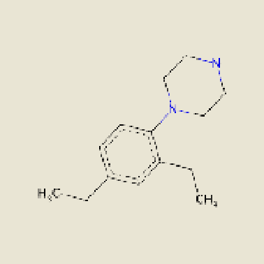 CCc1ccc(N2CC[N]CC2)c(CC)c1